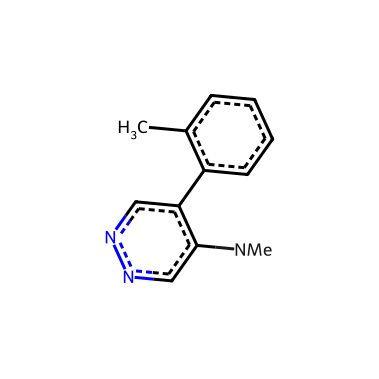 CNc1cnncc1-c1ccccc1C